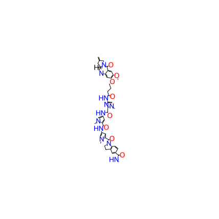 C=C1C[C@H]2C=Nc3cc(OCCCC(=O)Nc4cn(C)c(C(=O)Nc5cc(C(=O)Nc6cc(C(=O)N7CCc8cc(C(=O)NC)ccc87)n(C)c6)n(C)c5)n4)c(OC)cc3C(=O)N2C1